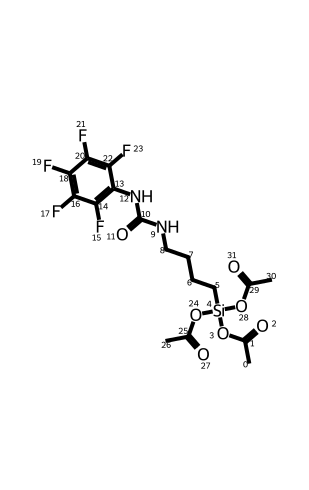 CC(=O)O[Si](CCCCNC(=O)Nc1c(F)c(F)c(F)c(F)c1F)(OC(C)=O)OC(C)=O